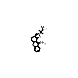 CC(C)(CN)n1cc2c(n1)-c1c(nc3ccccc3c1N)CC2